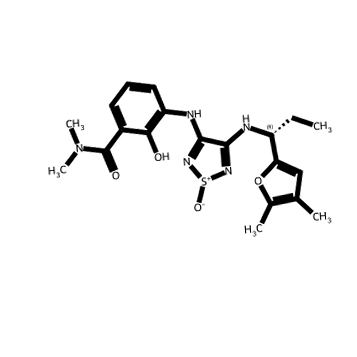 CC[C@@H](Nc1n[s+]([O-])nc1Nc1cccc(C(=O)N(C)C)c1O)c1cc(C)c(C)o1